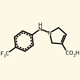 O=C(O)C1=CCN(Nc2ccc(C(F)(F)F)cc2)C1